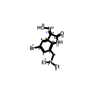 CCN(CC)Cc1cc(Br)cc2c1NC(=O)/C2=N/O